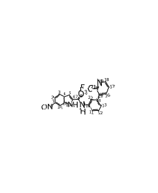 O=Nc1ccc2cc(C(=O)Nc3cccc(-c4cccnc4C(F)(F)F)c3)[nH]c2c1